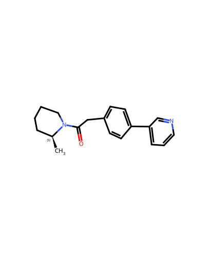 C[C@H]1CCCCN1C(=O)Cc1ccc(-c2cccnc2)cc1